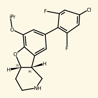 CC(C)Oc1cc(-c2c(F)cc(Cl)cc2F)cc2c1O[C@H]1CCNC[C@@H]21